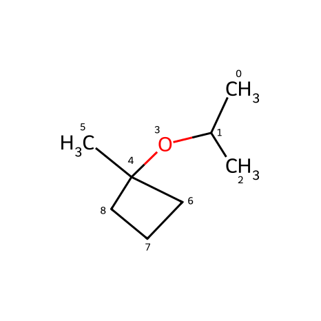 CC(C)OC1(C)CCC1